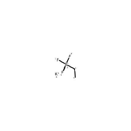 CC[B-](F)(F)F.[K+]